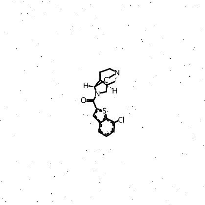 O=C(c1cc2cccc(Cl)c2s1)N1C[C@@H]2C[N@@]3CCC2[C@@H]1C3